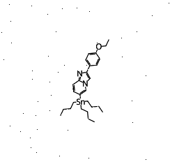 CCC[CH2][Sn]([CH2]CCC)([CH2]CCC)[c]1ccc2nc(-c3ccc(OCC)cc3)cn2c1